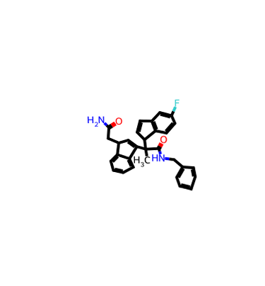 CC(C(=O)NCc1ccccc1)(C1=CC(CC(N)=O)c2ccccc21)C1C=Cc2cc(F)ccc21